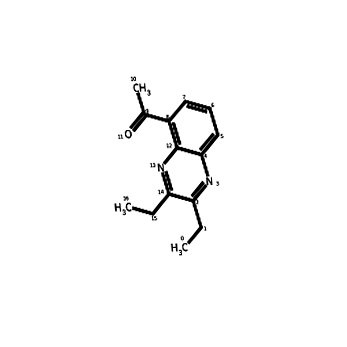 CCc1nc2cccc(C(C)=O)c2nc1CC